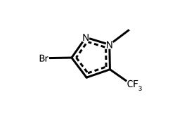 Cn1nc(Br)cc1C(F)(F)F